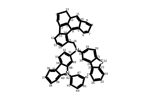 C1=CC2=C3C(=c4ccccc4=CC3C1)C1=C(CN(c3ccc4sc5ccccc5c4c3)c3ccc4c5ccccc5n(-c5ccccc5)c4c3)C=CCC21